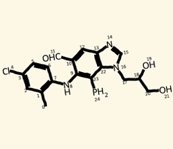 Cc1cc(Cl)ccc1Nc1c(C=O)cc2ncn(CC(O)CO)c2c1P